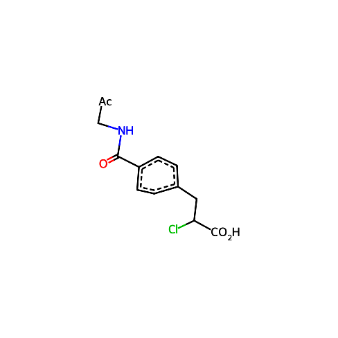 CC(=O)CNC(=O)c1ccc(CC(Cl)C(=O)O)cc1